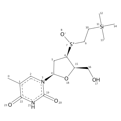 Cc1cn([C@H]2C[C@@H]([S+]([O-])CC[Si](C)(C)C)[C@@H](CO)O2)c(=O)[nH]c1=O